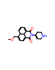 COCC1=CC=C2C(=O)N(C3=CCNCC3)C(=O)C3=CC=CC1C32